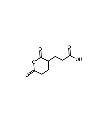 O=C(O)CCC1CCC(=O)OC1=O